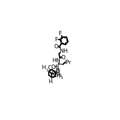 CC(C)C[C@H](NC(=O)CNC(=O)c1cccc(F)c1F)B1O[C@@H]2C[C@@H]3CC(C3(C)C)[C@]2(C)O1